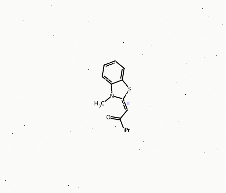 CC(C)C(=O)/C=C1/Sc2ccccc2N1C